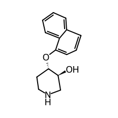 O[C@H]1CNCC[C@@H]1Oc1cccc2ccccc12